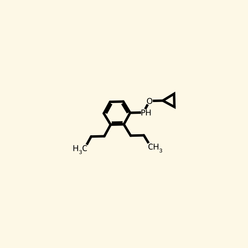 CCCc1cccc(POC2CC2)c1CCC